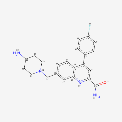 NC(=O)c1cc(-c2ccc(F)cc2)c2ccc(CN3CCC(N)CC3)cc2n1